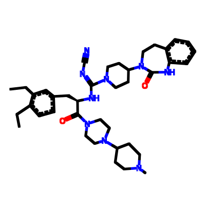 CCc1ccc(C[C@@H](N/C(=N/C#N)N2CCC(N3CCc4ccccc4NC3=O)CC2)C(=O)N2CCN(C3CCN(C)CC3)CC2)cc1CC